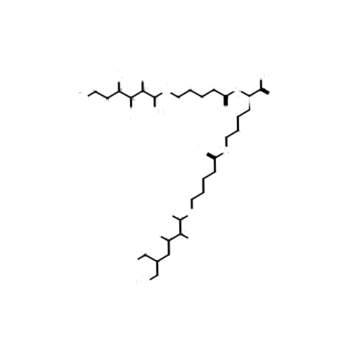 CC(=O)[C@@H](CCCCNC(=O)CCCCOC(O)C(O)C(O)CC(CO)CO)NC(=O)CCCCOC(O)C(O)C(O)C(O)CCO